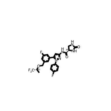 C[C@@H](OCc1cc(F)cc(-c2cc(NC(=O)[C@H]3CNC(=O)N3)nn2-c2ccc(F)cc2)c1)C(F)(F)F